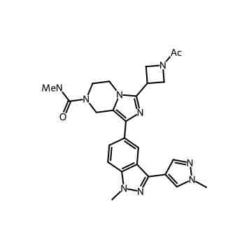 CNC(=O)N1CCn2c(C3CN(C(C)=O)C3)nc(-c3ccc4c(c3)c(-c3cnn(C)c3)nn4C)c2C1